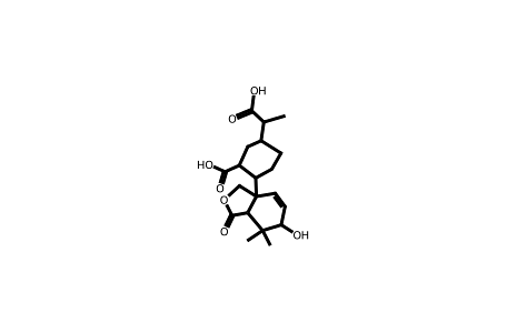 CC(C(=O)O)C1CCC(C23C=CC(O)C(C)(C)C2C(=O)OC3)C(C(=O)O)C1